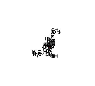 CCC1(O)CCC(CNc2ccc(S(=O)(=O)NC(=O)c3cc(C4=C(c5ccc(Cl)cc5)CC(C)(C)CC4)c(C)c(N4CCNCC4)c3Oc3cnc4[nH]ccc4c3)cc2[N+](=O)[O-])CC1